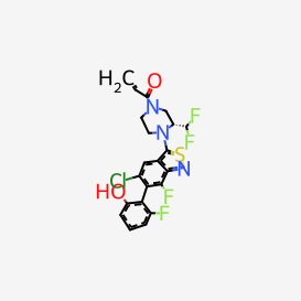 C=CC(=O)N1CCN(c2snc3c(F)c(-c4c(O)cccc4F)c(Cl)cc23)[C@@H](C(F)F)C1